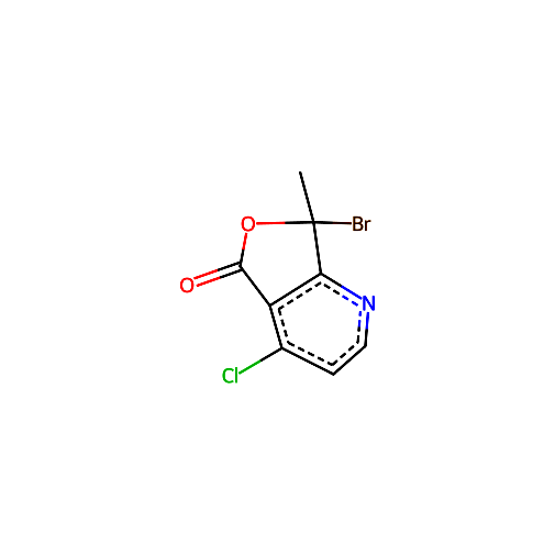 CC1(Br)OC(=O)c2c(Cl)ccnc21